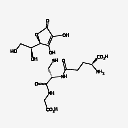 N[C@@H](CCC(=O)N[C@@H](CS)C(=O)NCC(=O)O)C(=O)O.O=C1O[C@H]([C@@H](O)CO)C(O)=C1O